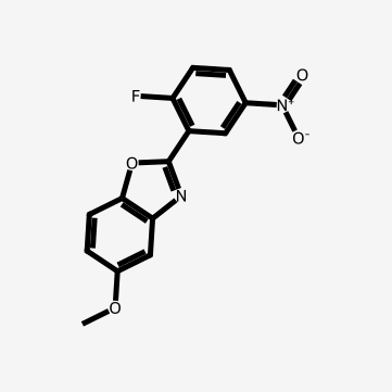 COc1ccc2oc(-c3cc([N+](=O)[O-])ccc3F)nc2c1